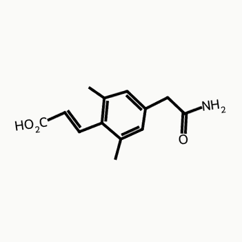 Cc1cc(CC(N)=O)cc(C)c1C=CC(=O)O